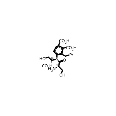 CC(C)Cc1c(N(C(=O)[C@@H](N)CO)[C@@H](CO)C(=O)O)ccc(C(=O)O)c1C(=O)O